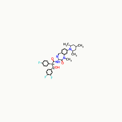 CC1CC(C)N(c2ccc3c(c2)N(C)C(=O)C(NC(=O)[C@H](c2ccc(F)cc2)[C@@H](O)c2ccc(F)c(F)c2)N=C3)C(C)C1